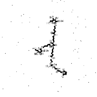 CC(=O)NC1[C@H](OCCCCC(=O)NCCCC[C@H](NC(=O)CCCCOC2OC(CO)[C@H](O)[C@H](O)[C@@H]2NC(C)=O)C(=O)NCCCCCC(=O)NCCOC(C)(OCCNC(=O)CCN2C(=O)C=CC2=O)C(C)(C)C)OC(CO)C(O)[C@@H]1O